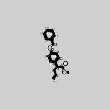 C=CCC(C(=O)OC)c1ccc(OCc2ccccc2)cc1